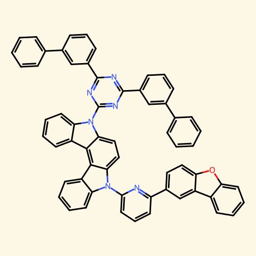 c1ccc(-c2cccc(-c3nc(-c4cccc(-c5ccccc5)c4)nc(-n4c5ccccc5c5c6c7ccccc7n(-c7cccc(-c8ccc9oc%10ccccc%10c9c8)n7)c6ccc54)n3)c2)cc1